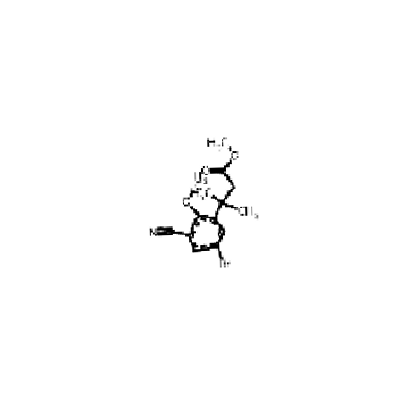 COC(=O)CC(C)(C)c1cc(Br)cc(C#N)c1OC